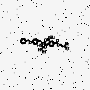 CCCCOc1cc(C(=O)OCCN(CC)CC)ccc1NC(=O)[C@@H](Cc1ccc(OCc2ccccc2)cc1)NC(=O)NCC